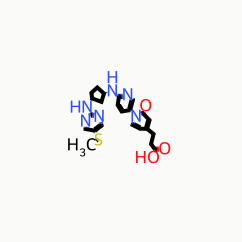 CSc1cnc(N[C@H]2CC[C@H](Nc3ccc(-n4ccc(CCC(=O)O)cc4=O)cn3)C2)nc1